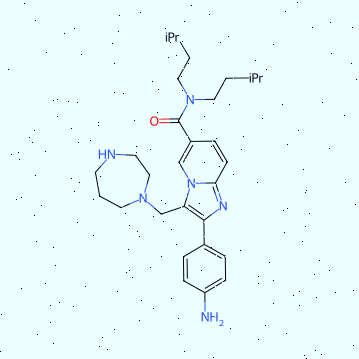 CC(C)CCN(CCC(C)C)C(=O)c1ccc2nc(-c3ccc(N)cc3)c(CN3CCCNCC3)n2c1